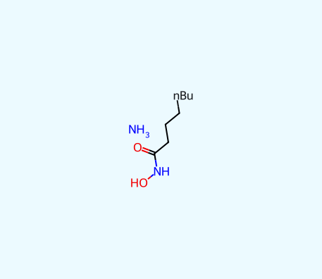 CCCCCCCC(=O)NO.N